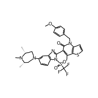 COc1ccc(Cn2c(=O)c(-c3nc4cc(N5C[C@@H](C)N(C)[C@@H](C)C5)ccc4n3S(=O)(=O)C(F)(F)F)c(C)c3sccc32)cc1